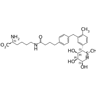 Cc1ccc([C@H]2[C@H](O)[C@H](O)[C@H](O)C[SH]2C)cc1Cc1ccc(CCCC(=O)NCCCC[C@H](N)C(=O)O)cc1